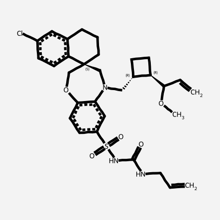 C=CCNC(=O)NS(=O)(=O)c1ccc2c(c1)N(C[C@@H]1CC[C@H]1C(C=C)OC)C[C@@]1(CCCc3cc(Cl)ccc31)CO2